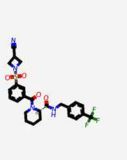 N#CC1CN(S(=O)(=O)c2cccc(C(=O)N3CCCC[C@H]3C(=O)NCc3ccc(C(F)(F)F)cc3)c2)C1